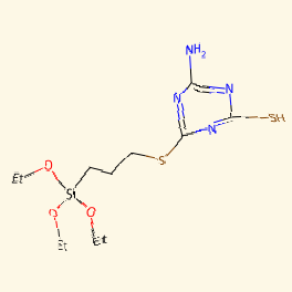 CCO[Si](CCCSc1nc(N)nc(S)n1)(OCC)OCC